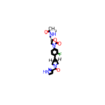 CC(=O)NC[C@H]1CN(c2ccc(C3[C@H]4CN(C(=O)c5cc[nH]n5)C[C@@H]34)c(F)c2)C(=O)O1